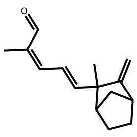 C=C1C2CCC(C2)C1(C)C=CC=C(C)C=O